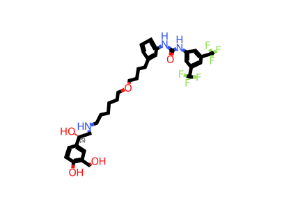 O=C(Nc1cccc(CCCCOCCCCCCNC[C@@H](O)c2ccc(O)c(CO)c2)c1)Nc1cc(C(F)(F)F)cc(C(F)(F)F)c1